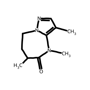 Cc1cnn2c1N(C)C(=O)C(C)CC2